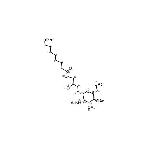 CCCCCCCCCCCCCCCCCC(=O)OCC(O)CO[C@@H]1O[C@H](COC(C)=O)[C@@H](OC(C)=O)[C@H](OC(C)=O)[C@@H]1NC(C)=O